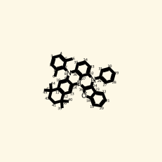 Cc1cccc(C)c1N1c2cc3c(cc2B2c4oc5ccccc5c4N(c4ccccc4)c4cccc1c42)C(C)(C)CCC3(C)C